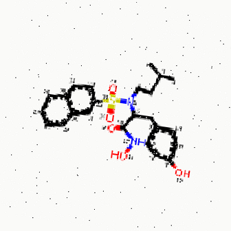 CC(C)CCN(C(Cc1ccc(O)cc1)C(=O)NO)S(=O)(=O)c1ccc2ccccc2c1